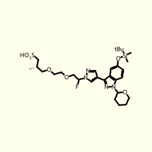 C[C@@H](COCCOCC(F)n1cc(-c2nn(C3CCCCO3)c3ccc(O[Si](C)(C)C(C)(C)C)cc23)cn1)CS(=O)(=O)O